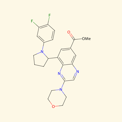 COC(=O)c1cc(C2CCCN2c2ccc(F)c(F)c2)c2nc(N3CCOCC3)cnc2c1